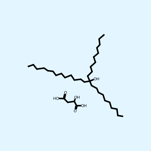 CCCCCCCCCCCCCC(O)(CCCCCCCCCC)CCCCCCCCCC.O=C(O)CC(O)C(=O)O